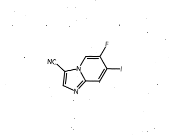 N#Cc1cnc2cc(I)c(F)cn12